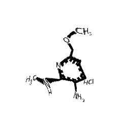 CNc1nc(OC)ccc1N.Cl